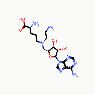 NCCN(CCC[C@H](N)C(=O)O)C[C@H]1OC(n2cnc3c(N)ncnc32)[C@H](O)[C@@H]1O